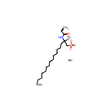 C=CC(=O)NC(C)(CCCCCCCCCCCCCCCCCCCCCCC)CS(=O)(=O)[O-].[Na+]